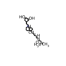 CN(C)CC(=O)NCCCCC[C@H]1CC[C@H]2/C(=C/C=C3C[C@@H](O)C[C@H](O)C3)CCCC12C